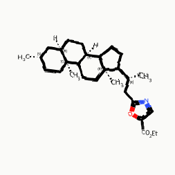 CCOC(=O)c1cnc(C[C@@H](C)C2CCC3[C@@H]4CC[C@@H]5C[C@@H](C)CC[C@]5(C)C4CC[C@@]32C)o1